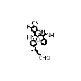 CN(CCCC=O)c1ccc(NC(C(=O)/C(S)=C(/C=N)c2ccccc2)c2ccc(C#N)c(F)c2)cc1